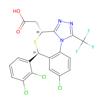 O=C(O)C[C@H]1S[C@H](c2cccc(Cl)c2Cl)c2cc(Cl)ccc2-n2c1nnc2C(F)(F)F